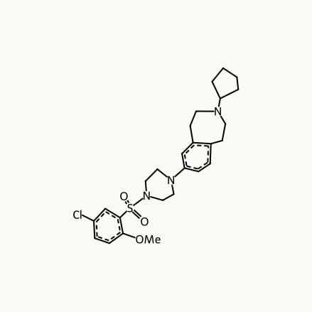 COc1ccc(Cl)cc1S(=O)(=O)N1CCN(c2ccc3c(c2)CCN(C2CCCC2)CC3)CC1